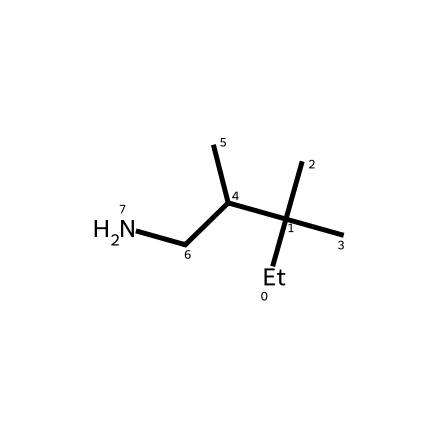 CCC(C)(C)C(C)CN